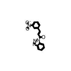 O=C(C=Cc1cccc([N+](=O)[O-])c1)n1nnc2ccccc21